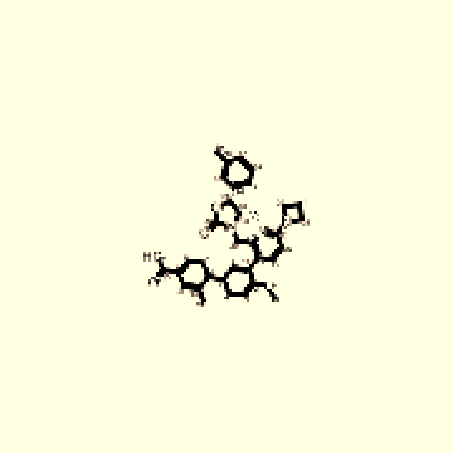 COC1=CCC(C2CC=C(C(=O)O)C=C2C)C=C1c1ccc(N2CCC2)nc1CN1C(=O)O[C@H](c2cccc(C)c2)[C@@H]1C